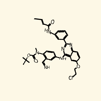 CCCC(=O)Nc1cccc(-c2nc(Nc3ccc(N(C)C(=O)OC(C)(C)C)c(C=N)c3)c3cc(OCCCl)ccc3n2)c1